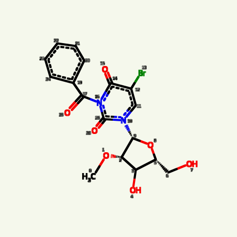 CO[C@H]1C(O)[C@@H](CO)O[C@H]1n1cc(Br)c(=O)n(C(=O)c2ccccc2)c1=O